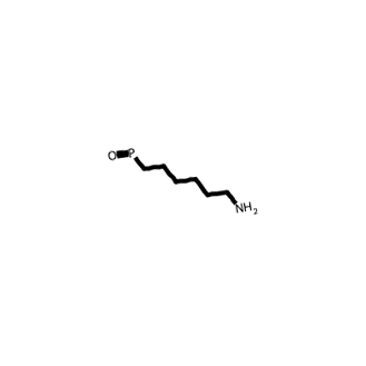 NCCCCCCP=O